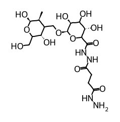 C[C@H]1C(CO[C@@H]2OC(C(=O)NNC(=O)CCC(=O)NN)[C@@H](O)C(O)[C@@H]2O)[C@H](O)C(CO)O[C@H]1O